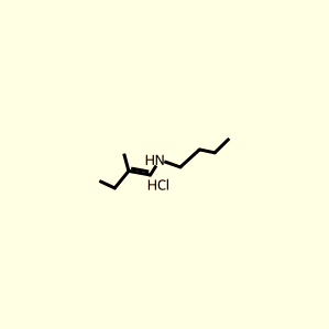 CCCCN/C=C(\C)CC.Cl